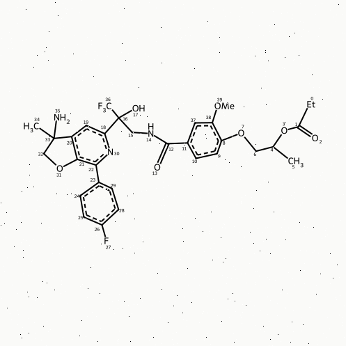 CCC(=O)OC(C)COc1ccc(C(=O)NCC(O)(c2cc3c(c(-c4ccc(F)cc4)n2)OCC3(C)N)C(F)(F)F)cc1OC